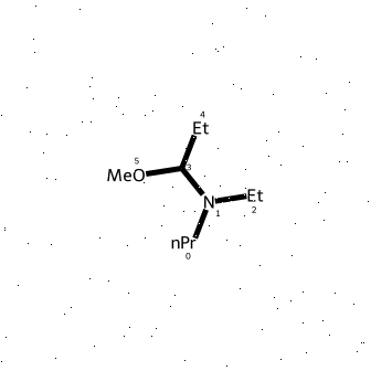 CCCN(CC)C(CC)OC